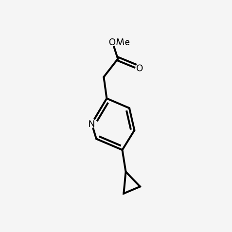 COC(=O)Cc1ccc(C2CC2)cn1